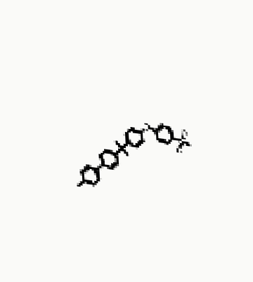 Cc1ccc(-c2ccc(C(C)(C)c3ccc(Oc4ccc(S(C)(=O)=O)cc4)cc3)cc2)cc1